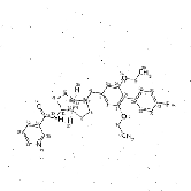 CCOc1cc(CN2CC[C@H]3C(NC(=O)c4cccnc4)CC[C@H]32)cc(OCC)c1-c1ccc(F)cc1